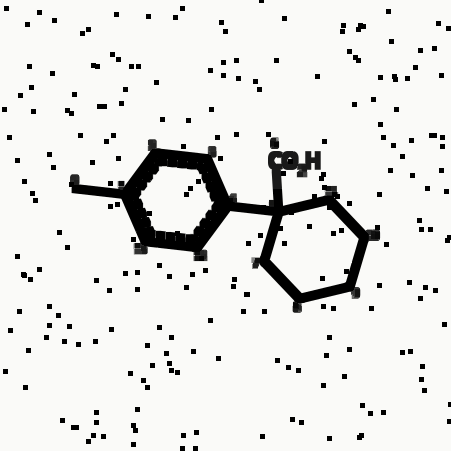 Cc1ccc(C2(C(=O)O)CCCCC2)cc1